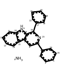 N.c1ccc(-c2cc3c([nH]c4ccccc43)c(-c3ccccc3)n2)cc1